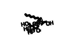 CCCCCCCC(C)(C)N1CC1CO.CO[C@@H](C=O)[C@@H](O)[C@H](O)[C@H](O)CO.I